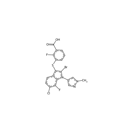 Cn1cc(-n2c(Br)c(Sc3cccc(C(=O)O)c3F)c3ccc(Cl)c(F)c32)cn1